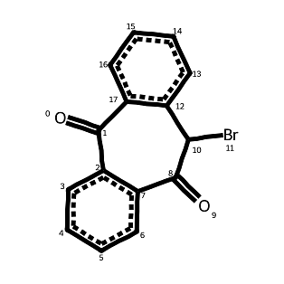 O=C1c2ccccc2C(=O)C(Br)c2ccccc21